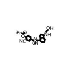 CC(C)C(=O)Oc1ccc(-c2nc(-c3cccc4c3CCC4NCCO)no2)cc1C#N